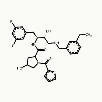 CCc1cccc(CNC[C@@H](O)[C@H](Cc2cc(F)cc(F)c2)NC(=O)C2CC(O)CN2C(=O)c2ccco2)c1